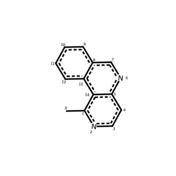 Cc1nccc2ncc3ccccc3c12